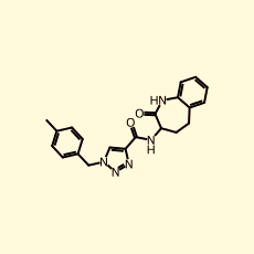 Cc1ccc(Cn2cc(C(=O)NC3CCc4ccccc4NC3=O)nn2)cc1